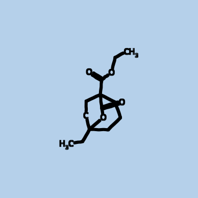 CCOC(=O)C12CCCC(CC)(CC1)OC2=O